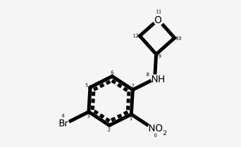 O=[N+]([O-])c1cc(Br)ccc1NC1COC1